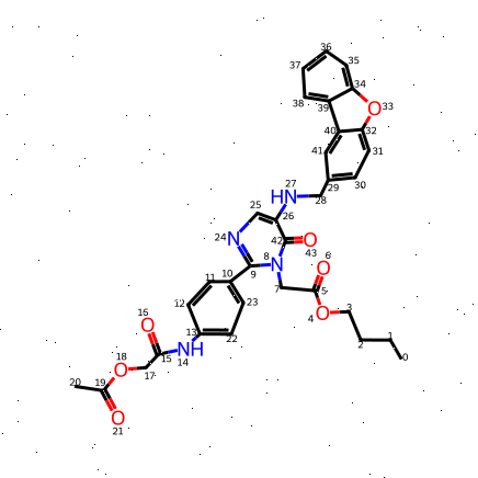 CCCCOC(=O)Cn1c(-c2ccc(NC(=O)COC(C)=O)cc2)ncc(NCc2ccc3oc4ccccc4c3c2)c1=O